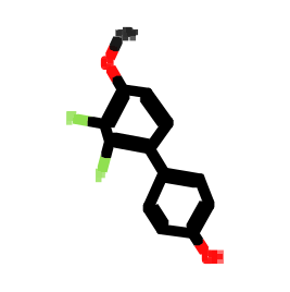 CCCOc1ccc(-c2ccc(O)cc2)c(F)c1F